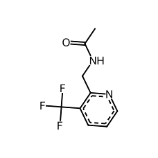 CC(=O)NCc1ncccc1C(F)(F)F